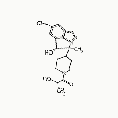 C[C@H](O)C(=O)N1CCC(C2(C)[C@H](O)c3cc(Cl)cc4cnn2c34)CC1